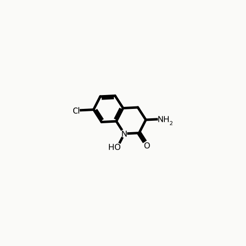 NC1Cc2ccc(Cl)cc2N(O)C1=O